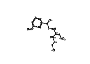 COc1cccc(C(O)CNC(=C[N+](=O)[O-])NCCCl)c1